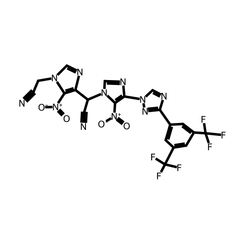 N#CCn1cnc(C(C#N)n2cnc(-n3cnc(-c4cc(C(F)(F)F)cc(C(F)(F)F)c4)n3)c2[N+](=O)[O-])c1[N+](=O)[O-]